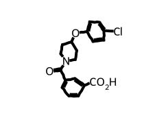 O=C(O)c1cccc(C(=O)N2CCC(Oc3ccc(Cl)cc3)CC2)c1